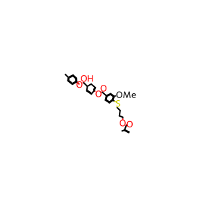 C=C(C)C(=O)OCCCCSc1ccc(C(=O)OC2=CCC(C(O)Oc3ccc(C)cc3)C=C2)cc1OC